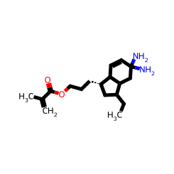 C=C(C)C(=O)OCCC[C@H]1CC(CC)C2CC(N)(N)C=CC21